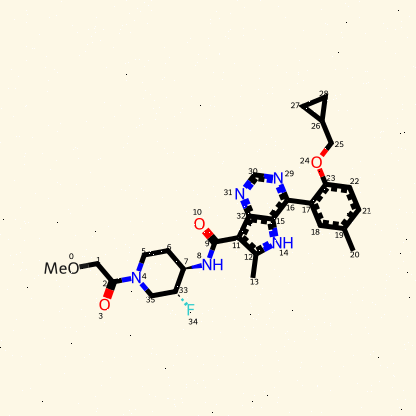 COCC(=O)N1CC[C@@H](NC(=O)c2c(C)[nH]c3c(-c4cc(C)ccc4OCC4CC4)ncnc23)[C@H](F)C1